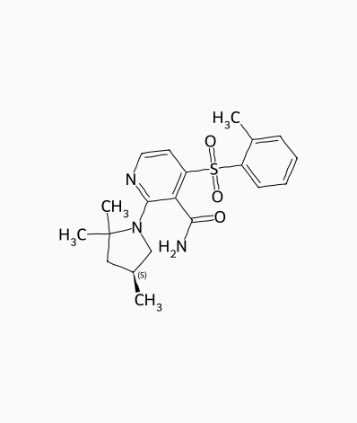 Cc1ccccc1S(=O)(=O)c1ccnc(N2C[C@@H](C)CC2(C)C)c1C(N)=O